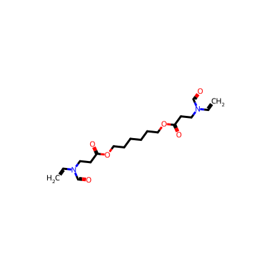 C=CN(C=O)CCC(=O)OCCCCCCOC(=O)CCN(C=C)C=O